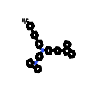 Cc1ccc(-c2ccc(-c3ccc(N(c4ccc(-c5ccc(-c6cc7ccccc7c7ccccc67)cc5)cc4)c4ccc(-n5c6ccccc6c6ccccc65)cc4)cc3)cc2)cc1